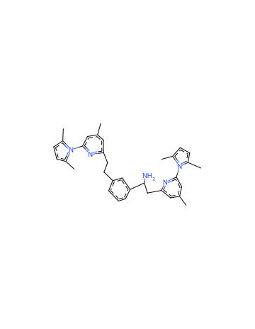 Cc1cc(CCc2cccc(C(N)Cc3cc(C)cc(-n4c(C)ccc4C)n3)c2)nc(-n2c(C)ccc2C)c1